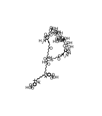 CC[N+]1=C(/C=C/C=C/C=C2/N(CCCCCC(=O)NC(CSSCCCC(=O)OCC#Cc3cn(C4OC(COP(=O)(O)OP(=O)(O)OP(=O)(O)O)C(O)C4O)c4ncnc(N)c34)C(=O)NCCCCCC(=O)CCC#Cc3cn(C4CC(OP(=O)(O)O)C(COP(=O)(O)O)O4)c(=O)nc3N)c3ccc(S(=O)(=O)O)cc3C2(C)C)C(C)(C)c2cc(S(=O)(=O)O)ccc21